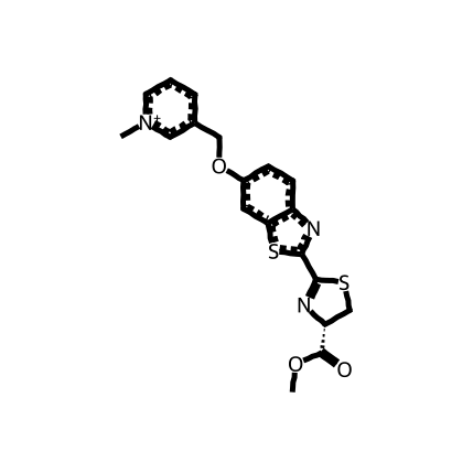 COC(=O)[C@H]1CSC(c2nc3ccc(OCc4ccc[n+](C)c4)cc3s2)=N1